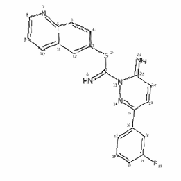 N=C(Sc1ccc2ncccc2c1)n1nc(-c2cccc(F)c2)ccc1=N